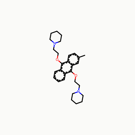 Cc1ccc2c(OCCN3CCCCC3)c3ccccc3c(OCCN3CCCCC3)c2c1